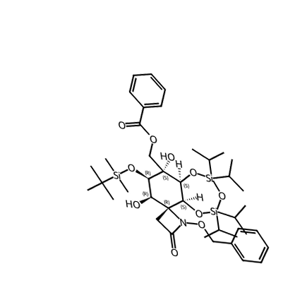 CC(C)[Si]1(C(C)C)O[C@@H]2[C@H](O[Si](C(C)C)(C(C)C)O1)[C@](O)(COC(=O)c1ccccc1)[C@H](O[Si](C)(C)C(C)(C)C)[C@H](O)[C@]21CC(=O)N1OCc1ccccc1